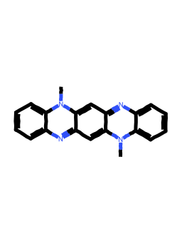 CN1c2ccccc2N=c2cc3c(cc21)=Nc1ccccc1N3C